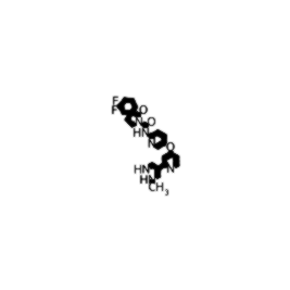 CN/C=C(\C=N)c1cc(Oc2ccc(NC(=O)N3CCC4(CCCC(F)(F)C4)C3=O)nc2)ccn1